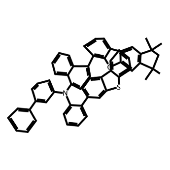 CC1(C)CC(C)(C)c2cc3c(cc21)oc1c(-c2ccc(N(c4cccc(-c5ccccc5)c4)c4ccccc4-c4ccc5c(c4)sc4ccccc45)c4ccccc24)cccc13